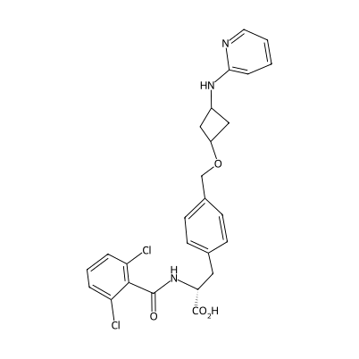 O=C(N[C@H](Cc1ccc(COC2CC(Nc3ccccn3)C2)cc1)C(=O)O)c1c(Cl)cccc1Cl